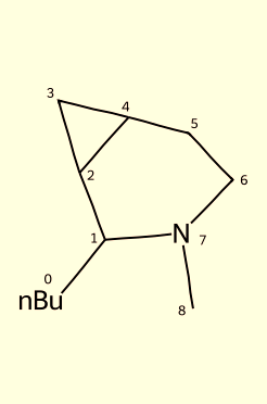 CCCCC1C2CC2CCN1C